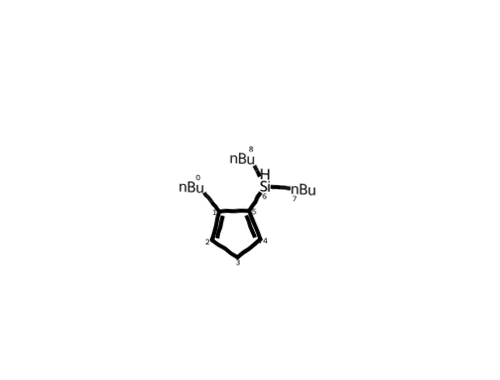 CCCCC1=CC[C]=C1[SiH](CCCC)CCCC